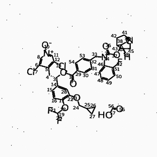 O=C(O[C@@H](Cc1c(Cl)c[n+]([O-])cc1Cl)c1ccc(OC(F)F)c(OCC2CC2)c1)c1ccc(CN(C(=O)O[C@H]2CN3CCC2CC3)c2ccccc2F)cc1.O=CO